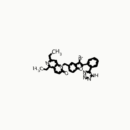 CCc1cc2c(ccc(=O)n2Cc2ccc3oc(-c4ccccc4-c4nnn[nH]4)c(Br)c3c2)c(CC)n1